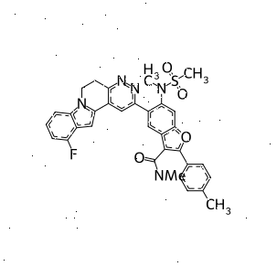 CNC(=O)c1c(-c2ccc(C)cc2)oc2cc(N(C)S(C)(=O)=O)c(-c3cc4c(nn3)CCn3c-4cc4c(F)cccc43)cc12